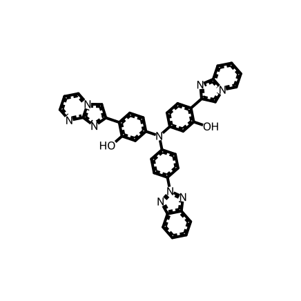 Oc1cc(N(c2ccc(-n3nc4ccccc4n3)cc2)c2ccc(-c3cn4cccnc4n3)c(O)c2)ccc1-c1cn2ccccc2n1